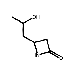 CC(O)CC1CC(=O)N1